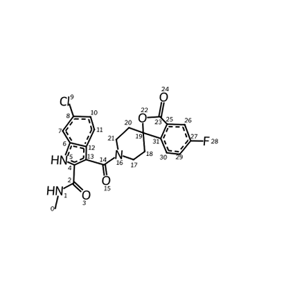 CNC(=O)c1[nH]c2cc(Cl)ccc2c1C(=O)N1CCC2(CC1)OC(=O)c1cc(F)ccc12